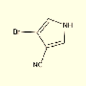 N#Cc1c[nH]cc1Br